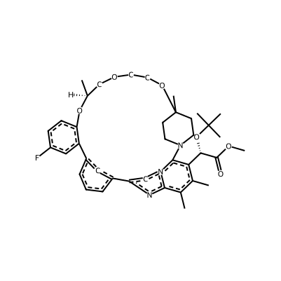 COC(=O)[C@@H](OC(C)(C)C)c1c(C)c(C)c2nc3cn2c1N1CCC(C)(CC1)OCCOC[C@H](C)Oc1ccc(F)cc1-c1cccc-3c1